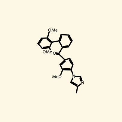 COc1cc(C(=O)c2ccccc2-c2c(OC)cccc2OC)ccc1-n1cnc(C)c1